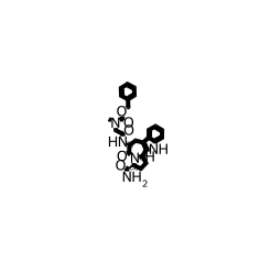 CN(CC(=O)N[C@H]1Cc2c([nH]c3ccccc23)[C@H]2CC[C@@H](C(N)=O)N2C1=O)C(=O)OCc1ccccc1